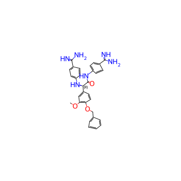 COc1cc([C@@H](Nc2ccc(C(=N)N)cc2)C(=O)Nc2ccc(C(=N)N)cc2)ccc1OCc1ccccc1